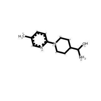 Cc1ccc(N2CCC(C(N)O)CC2)nc1